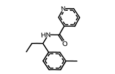 CCC(NC(=O)c1cccnc1)c1cccc(C)c1